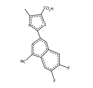 Cc1nc(-c2cc(C#N)c3cc(F)c(F)cc3c2)sc1C(=O)O